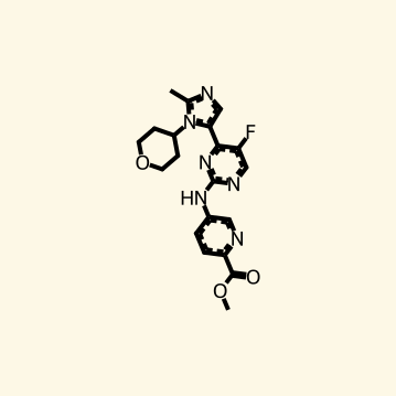 COC(=O)c1ccc(Nc2ncc(F)c(-c3cnc(C)n3C3CCOCC3)n2)cn1